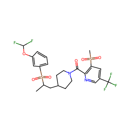 CC(CC1CCN(C(=O)c2ncc(C(F)(F)F)cc2S(C)(=O)=O)CC1)S(=O)(=O)c1cccc(OC(F)F)c1